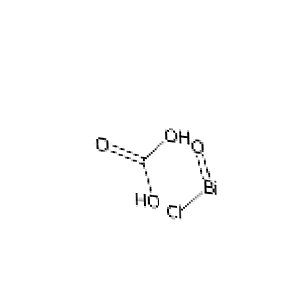 O=C(O)O.[O]=[Bi][Cl]